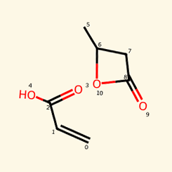 C=CC(=O)O.CC1CC(=O)O1